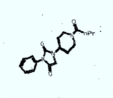 CCCC(=O)N1CCC(N2CC(=O)N(c3ccccc3)C2=O)CC1